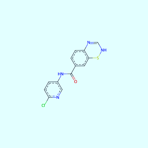 O=C(Nc1ccc(Cl)nc1)c1ccc2c(c1)SNC=N2